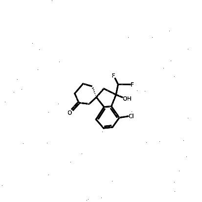 O=C1CCC[C@]2(C1)CC(O)(C(F)F)c1c(Cl)cccc12